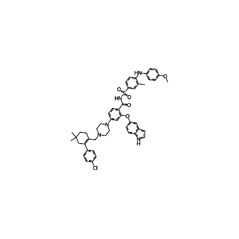 COc1ccc(Nc2ccc(S(=O)(=O)NC(=O)c3ccc(N4CCN(CC5=C(c6ccc(Cl)cc6)CC(C)(C)CC5)CC4)cc3Oc3ccc4[nH]ccc4c3)cc2C)cc1